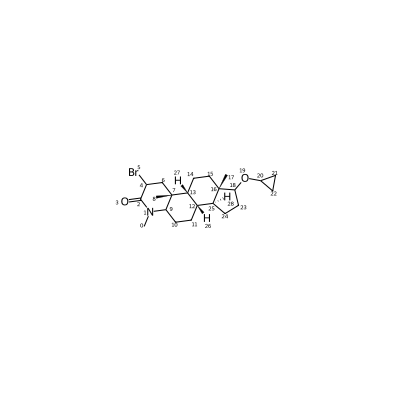 CN1C(=O)C(Br)C[C@@]2(C)C1CC[C@@H]1[C@H]2CC[C@]2(C)C(OC3CC3)CC[C@@H]12